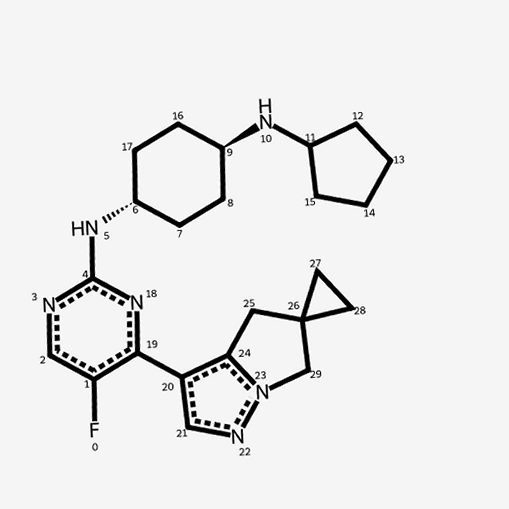 Fc1cnc(N[C@H]2CC[C@H](NC3CCCC3)CC2)nc1-c1cnn2c1CC1(CC1)C2